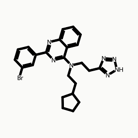 Brc1cccc(-c2nc(N(CCc3nn[nH]n3)CCC3CCCC3)c3ccccc3n2)c1